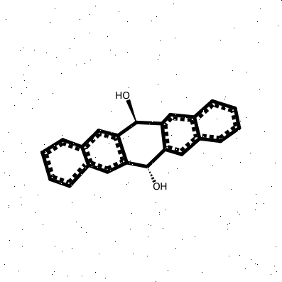 O[C@H]1c2cc3ccccc3cc2[C@H](O)c2cc3ccccc3cc21